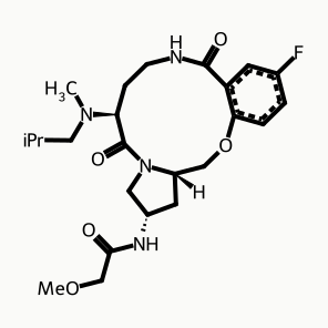 COCC(=O)N[C@H]1C[C@H]2COc3ccc(F)cc3C(=O)NCC[C@H](N(C)CC(C)C)C(=O)N2C1